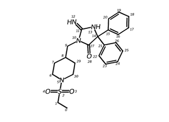 CCS(=O)(=O)N1CCC(CN2C(=N)NC(c3ccccc3)(c3ccccc3)C2=O)CC1